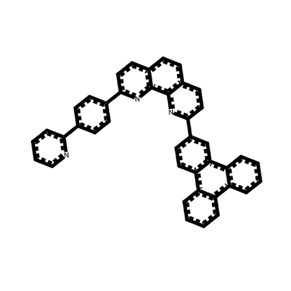 c1ccc(-c2ccc(-c3ccc4ccc5ccc(-c6ccc7c8ccccc8c8ccccc8c7c6)nc5c4n3)cc2)nc1